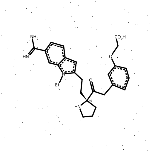 CCn1c(CC[C@@]2(C(=O)Cc3cccc(OCC(=O)O)c3)CCCN2)cc2ccc(C(=N)N)cc21